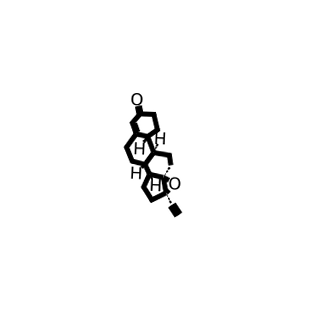 C#C[C@]12CC[C@H]3[C@@H]4CCC5=CC(=O)CC[C@@H]5[C@H]4CC[C@@]31O2